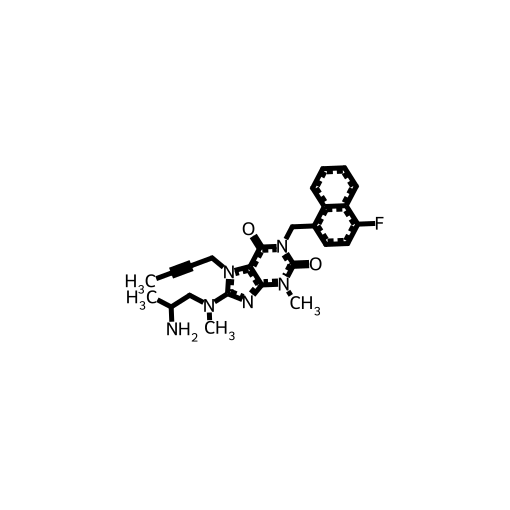 CC#CCn1c(N(C)CC(C)N)nc2c1c(=O)n(Cc1ccc(F)c3ccccc13)c(=O)n2C